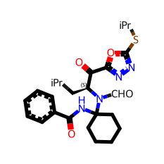 CC(C)C[C@@H](C(=O)c1nnc(SC(C)C)o1)N(C=O)C1(NC(=O)c2ccccc2)CCCCC1